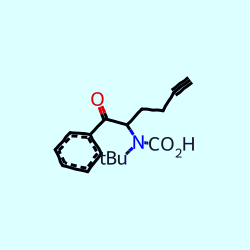 C#CCCC(C(=O)c1ccccc1)N(C(=O)O)C(C)(C)C